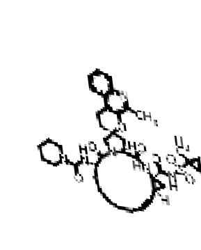 Cc1nc2ccccc2c2c1O[C@]1(CC2)C[C@H]2C(=O)N[C@]3(C(=O)NS(=O)(=O)C4(C)CC4)C[C@H]3C=CCCCCC[C@H](NC(=O)N3CCCCC3)C(=O)N2C1